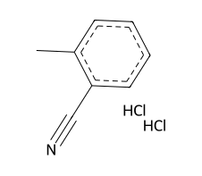 Cc1ccccc1C#N.Cl.Cl